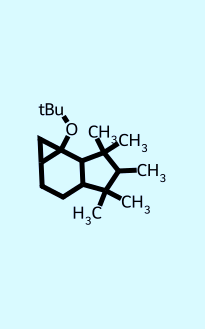 CC1C(C)(C)C2CCC3CC3(OC(C)(C)C)C2C1(C)C